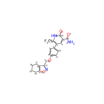 NC(=O)c1cc(-c2ccc(OCc3noc4c3CCCC4)cc2)c(C(F)(F)F)[nH]c1=O